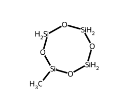 C[Si]1O[SiH2]O[SiH2]O[SiH2]O1